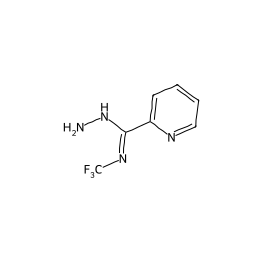 NNC(=NC(F)(F)F)c1ccccn1